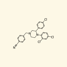 N#Cc1ccc(CN2CCN(c3ccc(Cl)cc3Cl)C(c3ccc(Cl)cc3)C2)cc1